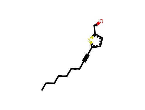 CCCCCCCC#Cc1ccc(C=O)s1